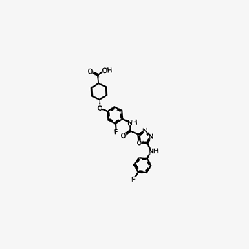 O=C(Nc1ccc(O[C@H]2CC[C@H](C(=O)O)CC2)cc1F)c1nnc(Nc2ccc(F)cc2)o1